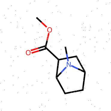 COC(=O)C1CC2CCC1N2C